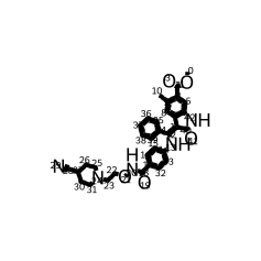 COC(=O)c1cc2c(cc1C)/C(=C(/Nc1ccc(C(=O)NOCCN3CCC(C#N)CC3)cc1)c1ccccc1)C(=O)N2